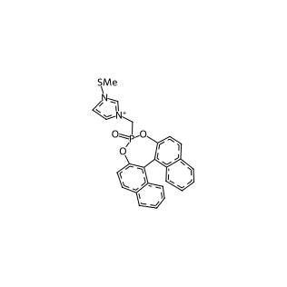 CSn1cc[n+](CP2(=O)Oc3ccc4ccccc4c3-c3c(ccc4ccccc34)O2)c1